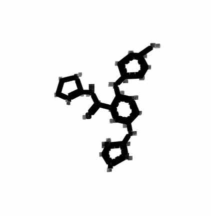 O=C(NC1=NCCS1)c1nc(Sc2nnc[nH]2)cnc1Sc1ccc(F)cc1